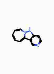 C1=CC=C2c3cnccc3NN2C=C1